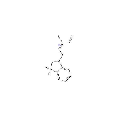 C=C/C(I)=C\CC1CC(C)(C)c2ccccc21